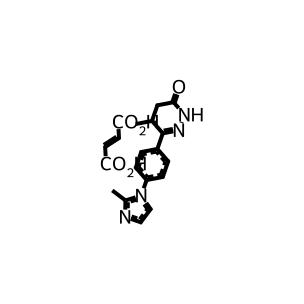 Cc1nccn1-c1ccc(C2=NNC(=O)CC2C)cc1.O=C(O)C=CC(=O)O